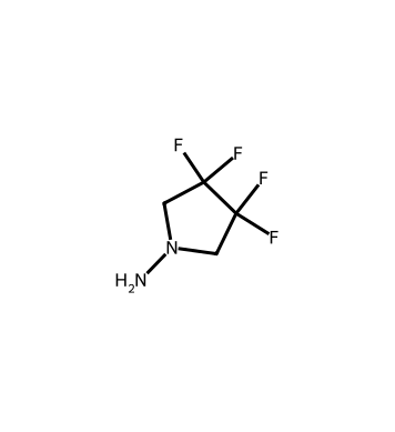 NN1CC(F)(F)C(F)(F)C1